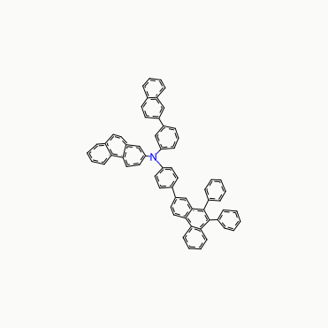 c1ccc(-c2c(-c3ccccc3)c3cc(-c4ccc(N(c5cccc(-c6ccc7ccccc7c6)c5)c5ccc6c(ccc7ccccc76)c5)cc4)ccc3c3ccccc23)cc1